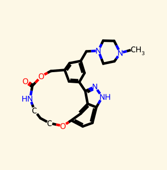 CN1CCN(Cc2cc3cc(c2)-c2n[nH]c4ccc(cc24)OCCCNC(=O)OC3)CC1